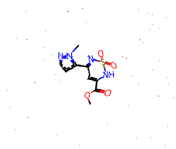 COC(=O)C1=CC(c2ccnn2C)=NS(=O)(=O)N1